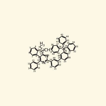 C[Si]1(C)c2ccccc2-c2c(-c3ccccc3)nc(-c3cccc(-c4cccc([Si](c5ccccc5)(c5ccccc5)c5ccccc5)c4)c3)nc21